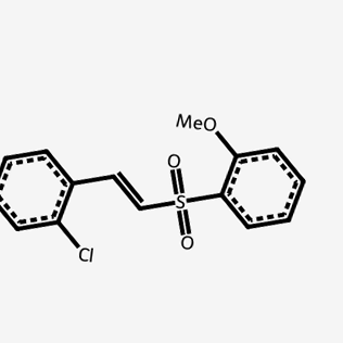 COc1ccccc1S(=O)(=O)C=Cc1ccccc1Cl